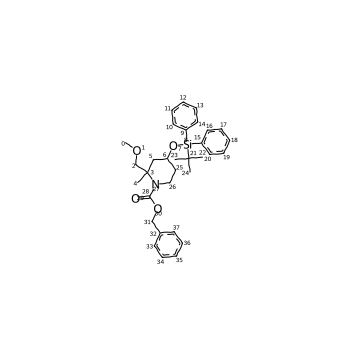 COCC1(C)CC(O[Si](c2ccccc2)(c2ccccc2)C(C)(C)C)CCN1C(=O)OCc1ccccc1